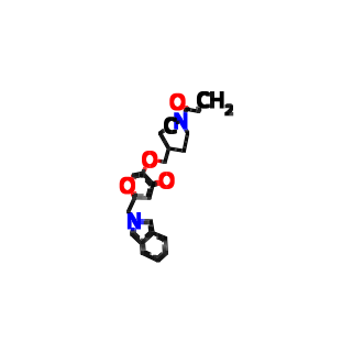 C=CC(=O)N1CCC(COc2coc(Cn3cc4ccccc4c3)cc2=O)CC1